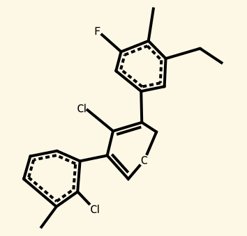 CCc1cc(C2=C(Cl)C(c3cccc(C)c3Cl)=CCC2)cc(F)c1C